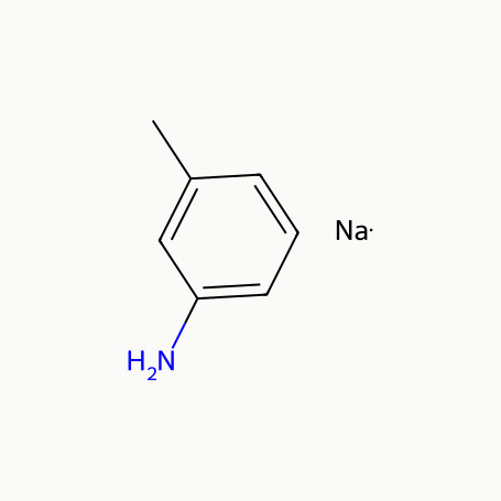 Cc1cccc(N)c1.[Na]